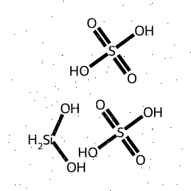 O=S(=O)(O)O.O=S(=O)(O)O.O[SiH2]O